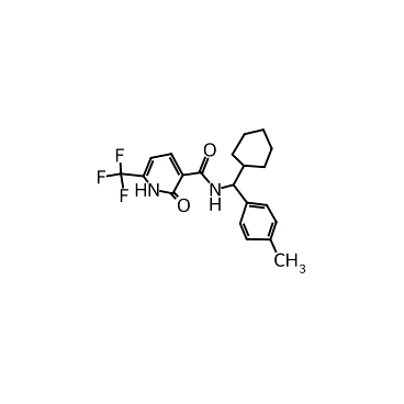 Cc1ccc(C(NC(=O)c2ccc(C(F)(F)F)[nH]c2=O)C2CCCCC2)cc1